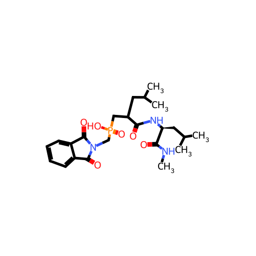 CNC(=O)[C@H](CC(C)C)NC(=O)C(CC(C)C)CP(=O)(O)CN1C(=O)c2ccccc2C1=O